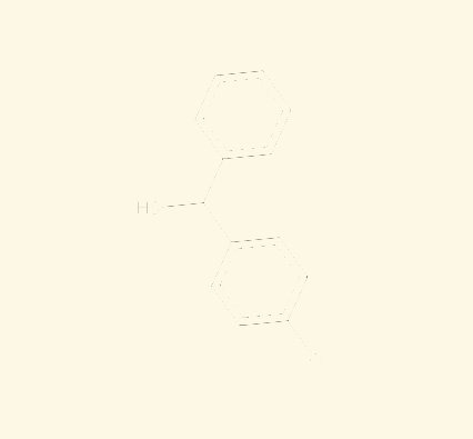 Oc1ccc(C(S)c2ccccc2)cc1